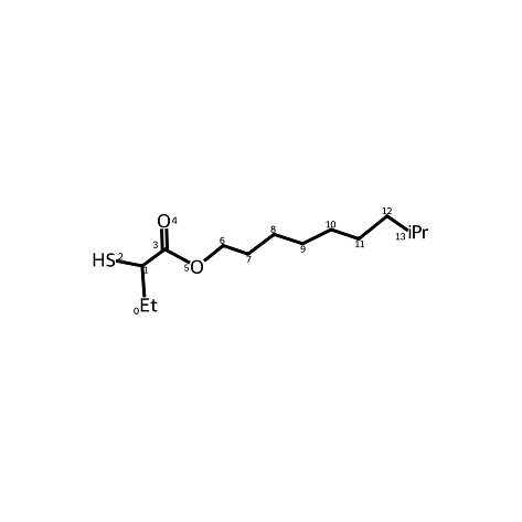 CCC(S)C(=O)OCCCCCCCC(C)C